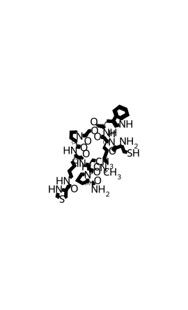 CC[C@H](NC(=O)[C@H](CCCCNC(=O)C1CSCN1)NC(=O)[C@@H]1CCCN1C(=O)COC(=O)[C@H](Cc1c[nH]c2ccccc12)NC(=O)[C@H](CCCCN(C)C)NC(=O)C(N)CS)C(=O)N1CCC[C@H]1C(N)=O